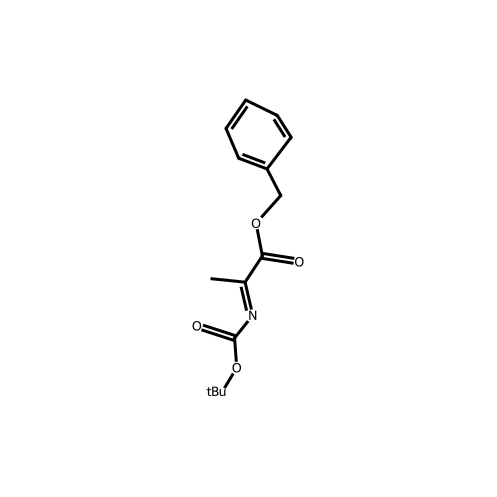 C/C(=N\C(=O)OC(C)(C)C)C(=O)OCc1ccccc1